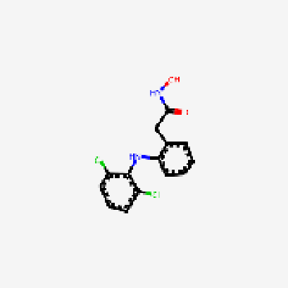 O=C(Cc1ccccc1Nc1c(Cl)cccc1Cl)NO